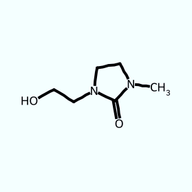 CN1CCN(CCO)C1=O